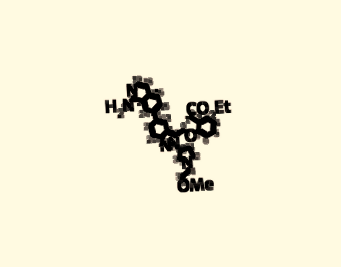 CCOC(=O)Cc1ccccc1OCc1c2cc(-c3ccc4ccnc(N)c4c3)ccc2nn1[C@H]1CCN(CCOC)C1